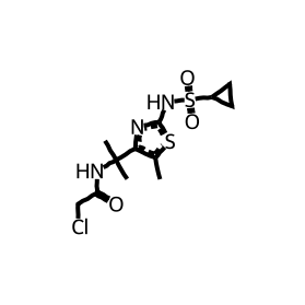 Cc1sc(NS(=O)(=O)C2CC2)nc1C(C)(C)NC(=O)CCl